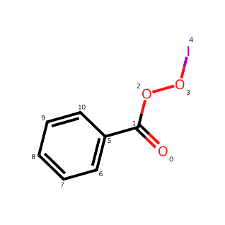 O=C(OOI)c1ccccc1